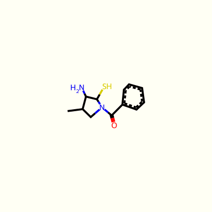 CC1CN(C(=O)c2ccccc2)C(S)C1N